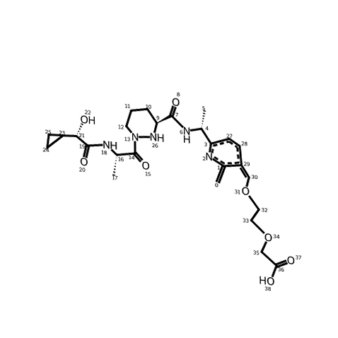 C=c1nc([C@@H](C)NC(=O)[C@@H]2CCCN(C(=O)[C@H](C)NC(=O)[C@@H](O)C3CC3)N2)cc/c1=C/OCCOCC(=O)O